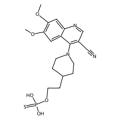 COc1cc2ncc(C#N)c(N3CCC(CCOP(O)(O)=S)CC3)c2cc1OC